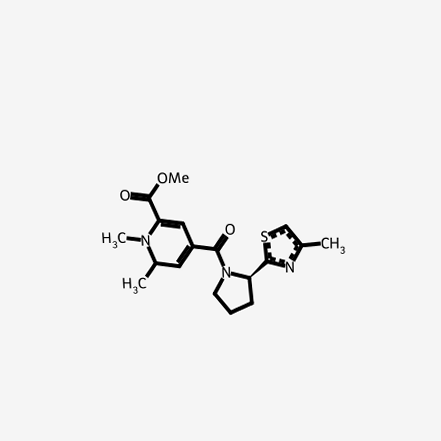 COC(=O)C1=CC(C(=O)N2CCC[C@@H]2c2nc(C)cs2)=CC(C)N1C